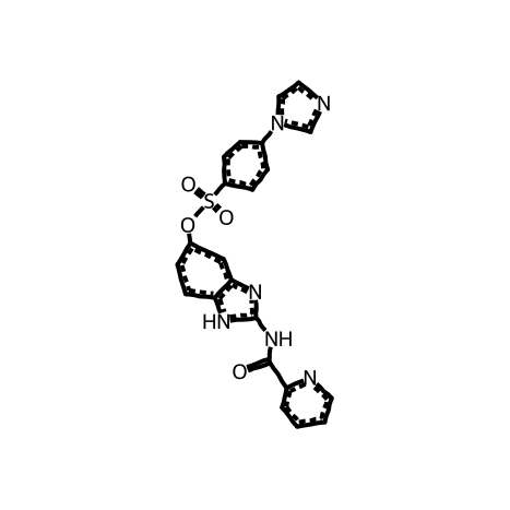 O=C(Nc1nc2cc(OS(=O)(=O)c3ccc(-n4ccnc4)cc3)ccc2[nH]1)c1ccccn1